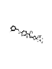 CC1(C(F)(F)F)CC(NC(=O)c2ccc(OCc3cccc(F)c3)nc2)C1